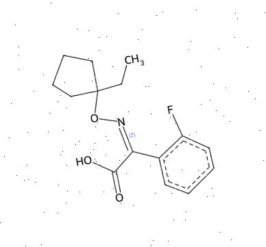 CCC1(O/N=C(\C(=O)O)c2ccccc2F)CCCC1